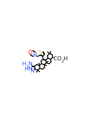 CC1(C)CC2C3=C(c4ccsc4CN4CCOCC4)CC4C5(C)Cc6c(n[nH]c6N)C(C)(C)C5CCC4(C)C3(C)CCC2[C@H](C(=O)O)C1